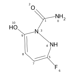 NC(=O)N1NC(F)=CC=C1O